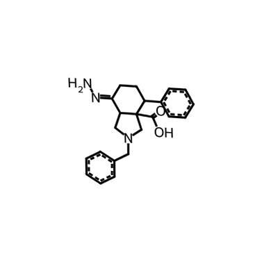 NN=C1CCC(c2ccccc2)C2(C(=O)O)CN(Cc3ccccc3)CC12